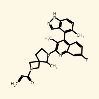 C=CC(=O)N1CC2(CCN(c3nc4cc(F)ccc4c(-c4c(C)ccc5[nH]ncc45)c3C)C2C)C1